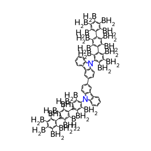 Bc1c(B)c(B)c(-c2c(B)c(B)c(-c3c(B)c(B)c(-n4c5ccccc5c5cc(-c6ccc7c(c6)c6ccccc6n7-c6c(B)c(B)c(B)c(-c7c(B)c(B)c(-c8c(B)c(B)c(B)c(B)c8B)c(B)c7B)c6B)ccc54)c(B)c3B)c(B)c2B)c(B)c1B